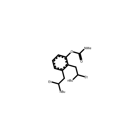 CCCCC(CC)Cc1cccc(OC(=O)NC)c1CC(CC)CCCC